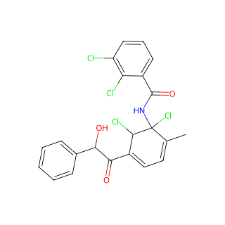 CC1=CC=C(C(=O)C(O)c2ccccc2)C(Cl)C1(Cl)NC(=O)c1cccc(Cl)c1Cl